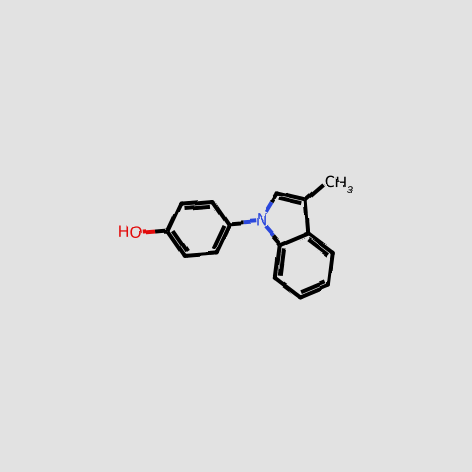 Cc1cn(-c2ccc(O)cc2)c2ccccc12